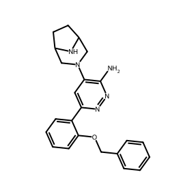 Nc1nnc(-c2ccccc2OCc2ccccc2)cc1N1CC2CCC(C1)N2